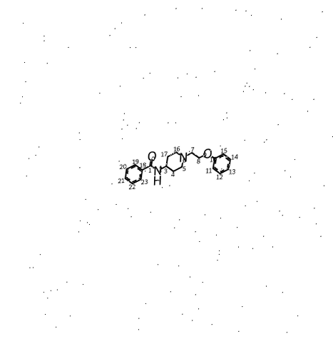 O=C(NC1CCN(CCOc2ccccc2)CC1)c1ccccc1